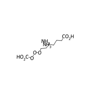 N.N.O=C(O)CCCCCCOOOC(=O)O